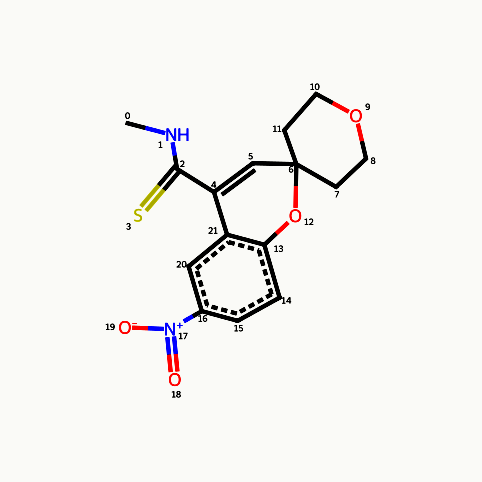 CNC(=S)C1=CC2(CCOCC2)Oc2ccc([N+](=O)[O-])cc21